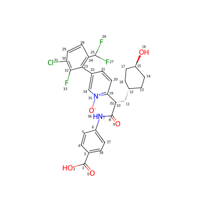 O=C(O)c1ccc(NC(=O)[C@@H](C[C@H]2CC[C@H](O)CC2)c2ccc(-c3c(C(F)F)ccc(Cl)c3F)c[n+]2[O-])cc1